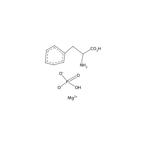 NC(Cc1ccccc1)C(=O)O.O=P([O-])([O-])O.[Mg+2]